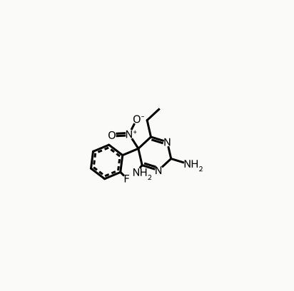 CCC1=NC(N)N=C(N)C1(c1ccccc1F)[N+](=O)[O-]